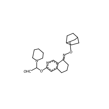 O=CC(Oc1cc2c(cn1)C(=NOC1CC3CCC1CC3)CCC2)N1CCCCC1